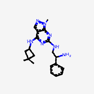 Cn1ncc2c(NC3CC(C)(C)C3)nc(NCC(N)c3ccccc3)nc21